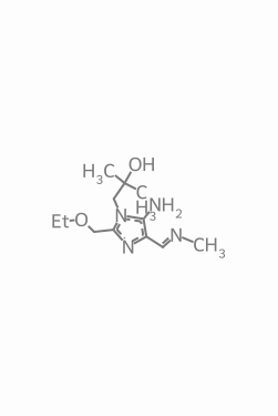 CCOCc1nc(/C=N/C)c(N)n1CC(C)(C)O